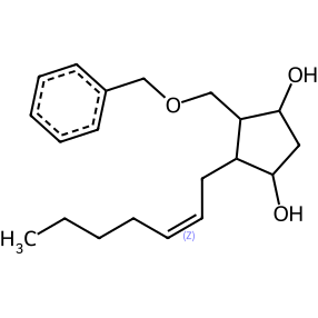 CCCC/C=C\CC1C(O)CC(O)C1COCc1ccccc1